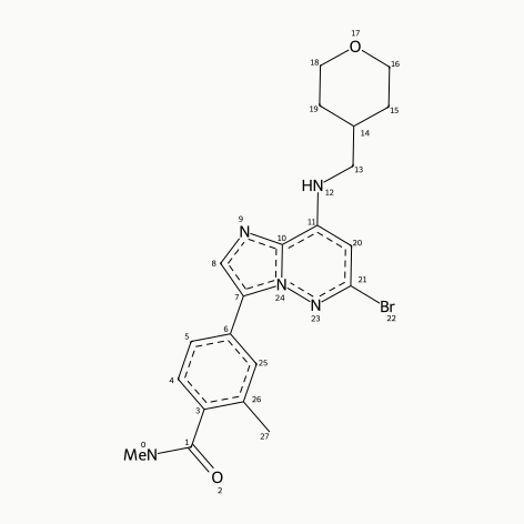 CNC(=O)c1ccc(-c2cnc3c(NCC4CCOCC4)cc(Br)nn23)cc1C